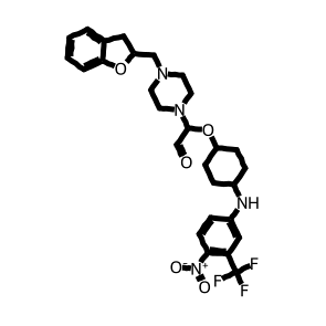 O=CC(OC1CCC(Nc2ccc([N+](=O)[O-])c(C(F)(F)F)c2)CC1)N1CCN(CC2Cc3ccccc3O2)CC1